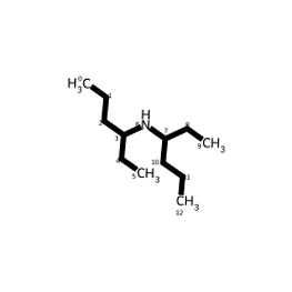 CCCC(CC)NC(CC)CCC